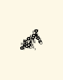 C[C@H]1C(=O)C(C#N)=C[C@@]2(C)c3c(c(-c4ccccc4F)nn3-c3nnc(-c4ccc(C[C@H]5C(=O)C(C#N)=C[C@@]6(C)c7c(c(-c8ccccc8F)nn7-c7ccc(N8CCOCC8)cc7)CC[C@H]56)cc4)n3C)CC[C@H]12